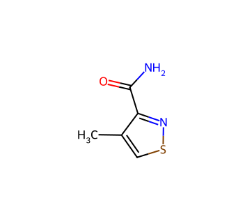 Cc1csnc1C(N)=O